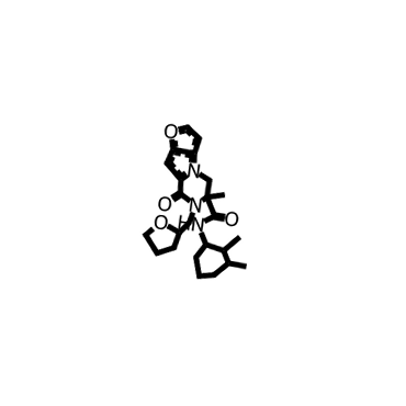 CC1CCCC(NC(=O)C2(C)Cn3c(cc4occc43)C(=O)N2CC2CCCO2)C1C